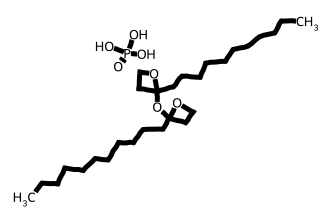 CCCCCCCCCCCC1(OC2(CCCCCCCCCCC)CCO2)CCO1.O=P(O)(O)O